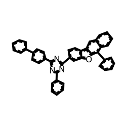 c1ccc(-c2ccc(-c3nc(-c4ccccc4)nc(-c4ccc5c(c4)oc4c(-c6ccccc6)c6ccccc6cc45)n3)cc2)cc1